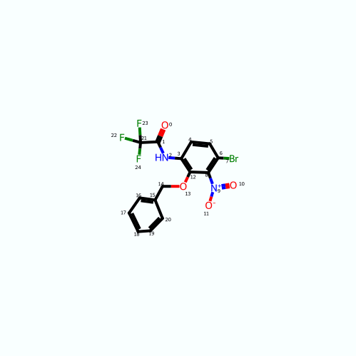 O=C(Nc1ccc(Br)c([N+](=O)[O-])c1OCc1ccccc1)C(F)(F)F